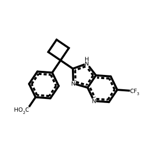 O=C(O)c1ccc(C2(c3nc4ncc(C(F)(F)F)cc4[nH]3)CCC2)cc1